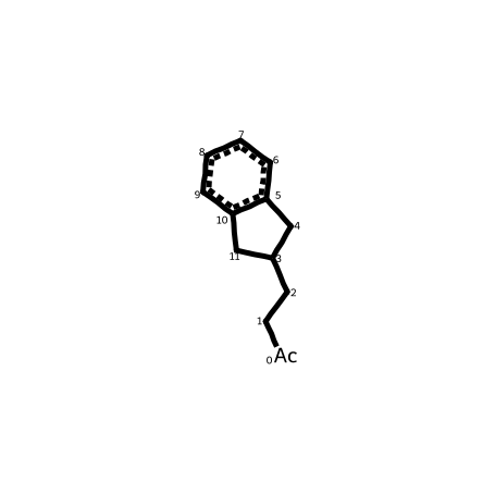 CC(=O)CCC1Cc2ccccc2C1